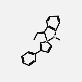 CC=C(c1ccccc1)S1(N(C)C)C=CC(c2ccccc2)=C1